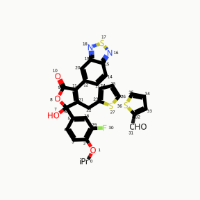 CC(C)Oc1ccc(C2(O)OC(=O)C(c3ccc4nsnc4c3)=C2Cc2cccs2)cc1F.O=Cc1cccs1